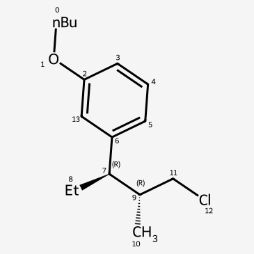 CCCCOc1cccc([C@H](CC)[C@@H](C)CCl)c1